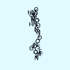 C[C@@H]1CN(CCO[C@H]2CC[C@H](N3C(=S)C(c4ccc(C#N)c(C(F)(F)F)c4)C(=O)C3(C)C)CC2)C[C@H](C)N1CC(=O)Nc1cccc2c(N3CCC(=O)NC3=O)nn(C)c12